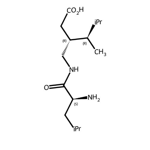 CC(C)C[C@H](N)C(=O)NC[C@H](CC(=O)O)[C@H](C)C(C)C